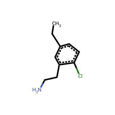 CCc1ccc(Cl)c(CCN)c1